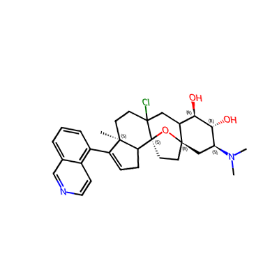 CN(C)[C@H]1C[C@@]23CC[C@]4(O2)C2CC=C(c5cccc6cnccc56)[C@@]2(C)CCC4(Cl)CC3[C@@H](O)[C@@H]1O